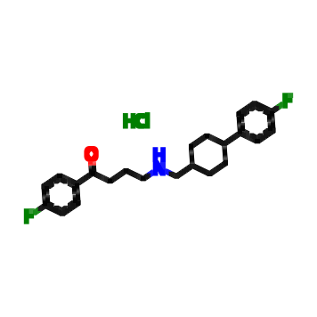 Cl.O=C(CCCNCC1CCC(c2ccc(F)cc2)CC1)c1ccc(F)cc1